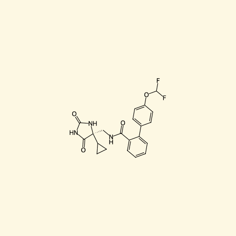 O=C1NC(=O)[C@](CNC(=O)c2ccccc2-c2ccc(OC(F)F)cc2)(C2CC2)N1